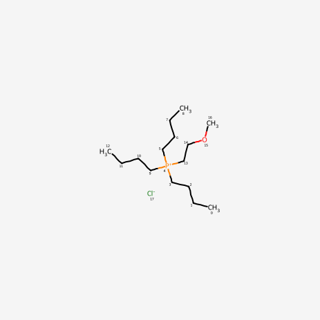 CCCC[P+](CCCC)(CCCC)CCOC.[Cl-]